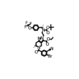 CCOC(=O)c1c2c(nn1CCN(C(=O)OC(C)(C)C)[C@@H](C)c1ccc(OC(F)(F)F)cc1)C[C@@H](C)N(C(=O)c1ccc(Br)c(C#N)c1)C2